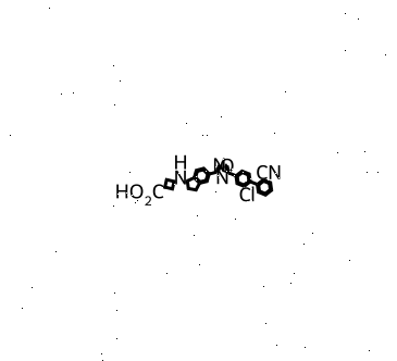 N#Cc1ccccc1-c1ccc(-c2nc(-c3ccc4c(c3)CCC4N[C@H]3C[C@H](C(=O)O)C3)no2)cc1Cl